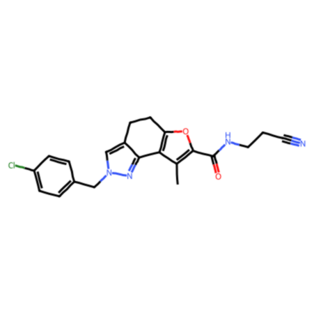 Cc1c(C(=O)NCCC#N)oc2c1-c1nn(Cc3ccc(Cl)cc3)cc1CC2